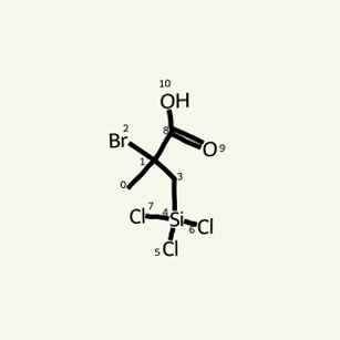 CC(Br)(C[Si](Cl)(Cl)Cl)C(=O)O